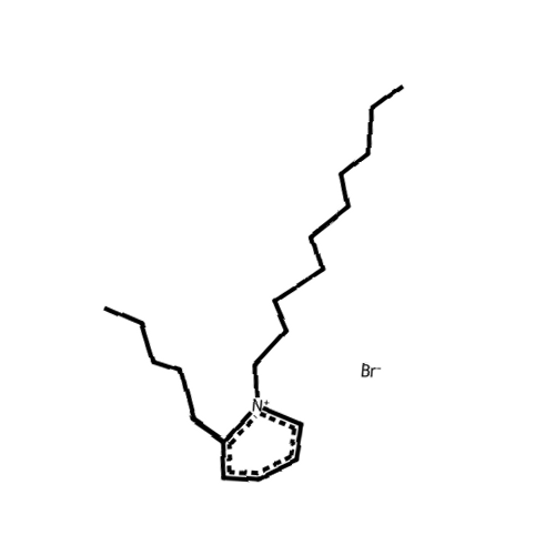 CCCCCCCCCC[n+]1ccccc1CCCCC.[Br-]